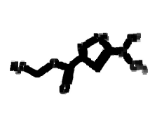 CCOC(=O)c1cc(N(C)O)[nH]n1